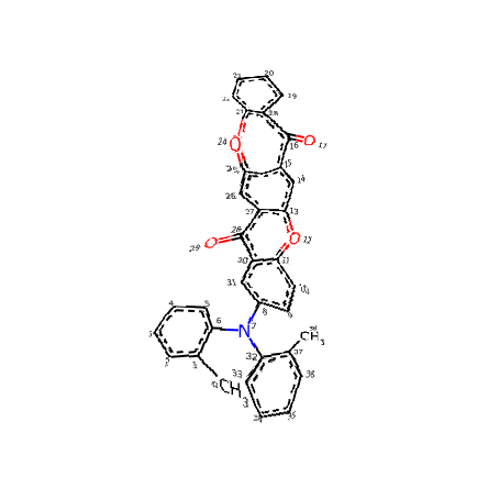 Cc1ccccc1N(c1ccc2oc3cc4c(=O)c5ccccc5oc4cc3c(=O)c2c1)c1ccccc1C